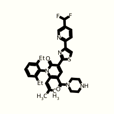 CCc1cccc(CC)c1-n1c(C=C(C)C)c(C(=O)N2CCNCC2)cc(-c2nc(-c3ccc(C(F)F)cn3)cs2)c1=O